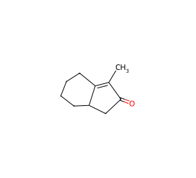 CC1=C2CCCCC2CC1=O